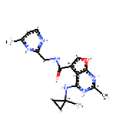 Cc1ccnc(CNC(=O)c2coc3nc(C)nc(NC4(C)CC4)c23)n1